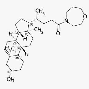 CC(CCC(=O)N1CCCOCC1)[C@H]1CC[C@H]2[C@@H]3CC=C4C[C@@H](O)CC[C@]4(C)[C@H]3CC[C@]12C